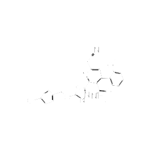 COc1ccccc1-c1cc(CC#N)nc(-c2nnc(OCc3ccc(Cl)cc3)s2)c1C(N)=O